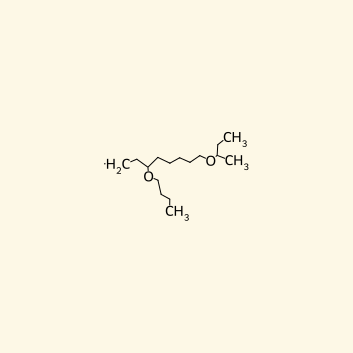 [CH2]CC(CCCCCOC(C)CC)OCCCC